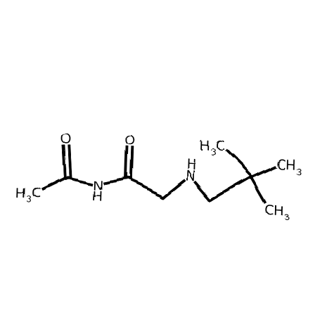 CC(=O)NC(=O)CNCC(C)(C)C